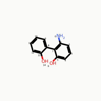 Nc1cccc(O)c1-c1ccccc1O